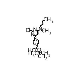 CCCCN(C)c1cc(N2CCN(C(O)OC(C)(C)C)CC2)nc(Cl)n1